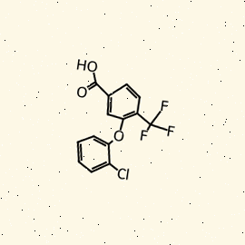 O=C(O)c1ccc(C(F)(F)F)c(Oc2ccccc2Cl)c1